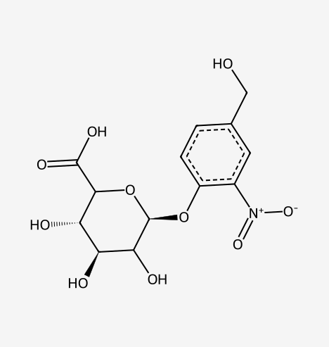 O=C(O)C1O[C@@H](Oc2ccc(CO)cc2[N+](=O)[O-])C(O)[C@@H](O)[C@@H]1O